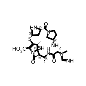 C[C@@H](NC(=O)CN(C)C=N)[C@H]1C(=O)N2C(C(=O)O)=C(S[C@@H]3CN[C@H](C(=O)N4CC[C@@H](N)C4)C3)[C@H](C)[C@H]12